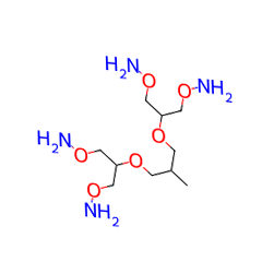 CC(COC(CON)CON)COC(CON)CON